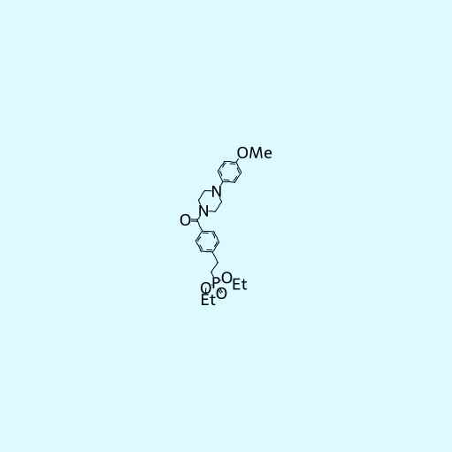 CCOP(=O)(CCc1ccc(C(=O)N2CCN(c3ccc(OC)cc3)CC2)cc1)OCC